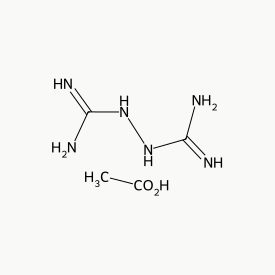 CC(=O)O.N=C(N)NNC(=N)N